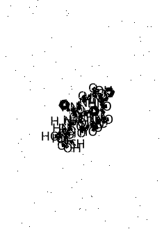 N[C@@H](CNC(=O)[C@H](CCc1ccccc1)NC(=O)[C@H](Cc1ccccc1)NC(=O)CNC(=O)CC[C@@H](NC(=O)C(Cc1ccccc1)NC(=O)CC[C@H](NC(=O)N[C@@H](CCC(=O)O)C(=O)O)C(=O)O)C(=O)O)C(=O)N[C@@H](CC(=O)O)C(=O)N[C@@H](CS)C(=O)O